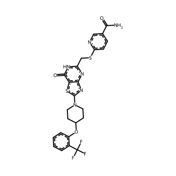 NC(=O)c1ccc(SCc2nc3nc(N4CCC(Oc5ccccc5C(F)(F)F)CC4)sc3c(=O)[nH]2)nc1